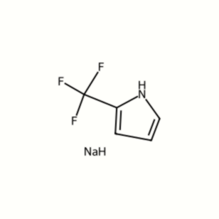 FC(F)(F)c1ccc[nH]1.[NaH]